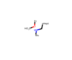 CCCCCCCCNC(C)(C)C.CCOS(=O)(=O)O